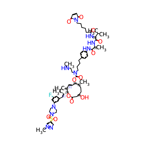 CNCCN(CCCCc1ccc(NC(=O)[C@H](C)NC(=O)[C@@H](NC(=O)CCCCCN2C(=O)C=CC2=O)C(C)C)cc1)C(=O)O[C@H]1/C=C/[C@H](C)[C@@H](/C(C)=C/c2cc(F)cc(N3CCN(S(=O)(=O)c4cnn(C)c4)CC3)c2)OC(=O)C[C@H](O)CC[C@@H]1C